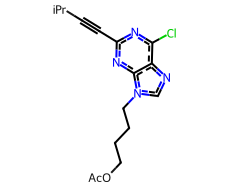 CC(=O)OCCCCn1cnc2c(Cl)nc(C#CC(C)C)nc21